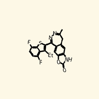 CCc1c(C2=NN=C(C)Cc3cc4[nH]c(=O)oc4cc32)sc2c(F)ccc(F)c12